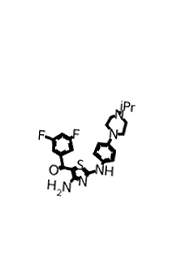 CC(C)N1CCN(c2ccc(Nc3nc(N)c(C(=O)c4cc(F)cc(F)c4)s3)cc2)CC1